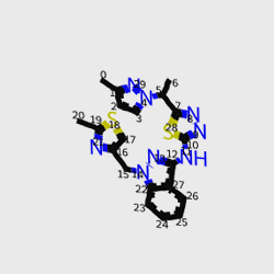 Cc1ccn(C(C)c2nnc(Nc3nn(Cc4csc(C)n4)c4ccccc34)s2)n1